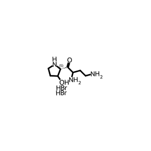 Br.Br.NCCC(N)C(=O)[C@H]1NCCC1O